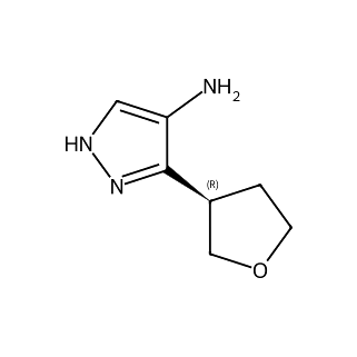 Nc1c[nH]nc1[C@H]1CCOC1